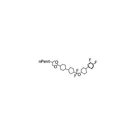 CCCCCC1COC(C2CCC(C3CCC(C(F)(F)OC4CCC(c5ccc(F)c(F)c5)CC4)CC3)CC2)OC1